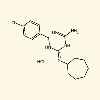 Cl.N=C(N)NC(=NC1CCCCCC1)NCc1ccc(Cl)cc1